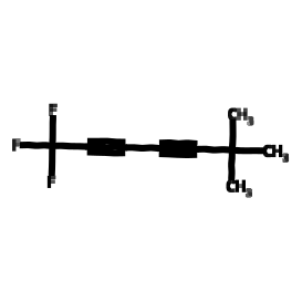 CC(C)(C)C#CC#CC(F)(F)F